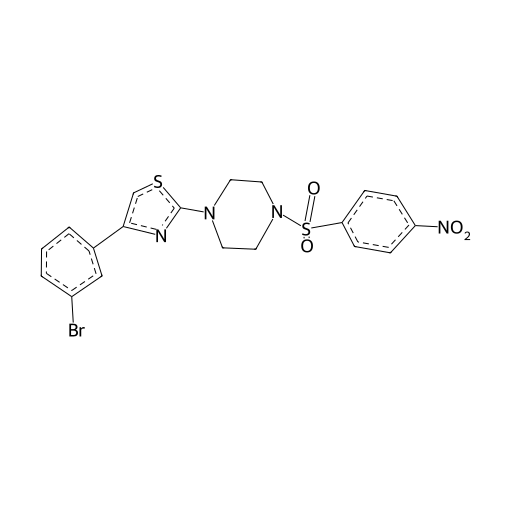 O=[N+]([O-])c1ccc(S(=O)(=O)N2CCN(c3nc(-c4cccc(Br)c4)cs3)CC2)cc1